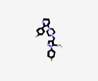 Cc1c(CN2CCN(c3cccnc3-c3ccc(F)cc3)CC2)cnn1-c1ccc(F)cc1